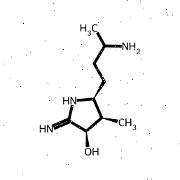 CC(N)CC[C@@H]1NC(=N)[C@H](O)[C@@H]1C